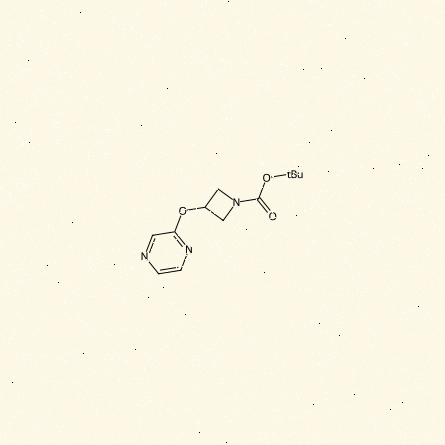 CC(C)(C)OC(=O)N1CC(Oc2cnccn2)C1